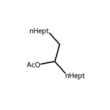 CCCCCCCCC(CCCCCCC)OC(C)=O